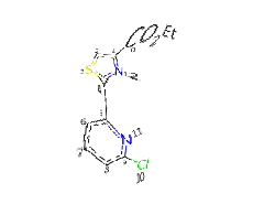 CCOC(=O)c1csc(-c2cccc(Cl)n2)n1